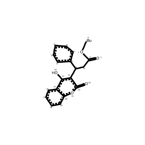 CCC(C)OC(=O)CC(c1ccccc1)c1c(O)c2ccccc2oc1=O